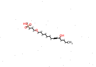 CCCCC(O)C#CCCCCCCCOCCCS(=O)(=O)O